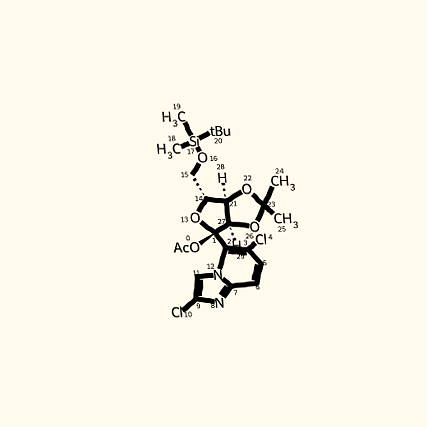 CC(=O)O[C@@]1(c2c(Cl)ccc3nc(Cl)cn23)O[C@H](CO[Si](C)(C)C(C)(C)C)[C@H]2OC(C)(C)O[C@H]21